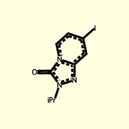 CC(C)n1nc2cc(I)ccn2c1=O